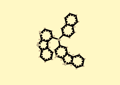 c1ccc2cc(N(c3cnc4oc5ccccc5c4c3)c3ccnc4oc5ccccc5c34)ccc2c1